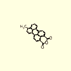 Cc1ccc2c3ccc4c5c(ccc(c6cccc1c62)c53)C(=O)OC4=O